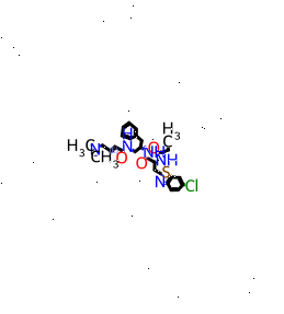 CCC(=O)NC(Cc1nc2ccc(Cl)cc2s1)C(=O)NC(CNC(=O)/C=C/CN(C)C)Cc1ccccc1